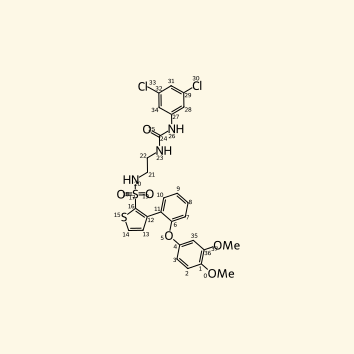 COc1ccc(Oc2ccccc2-c2ccsc2S(=O)(=O)NCCNC(=O)Nc2cc(Cl)cc(Cl)c2)cc1OC